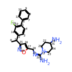 CC(c1ccc(-c2ccccc2)c(F)c1)c1cc(C/N=C(/N)N2CCC(N)CC2)on1